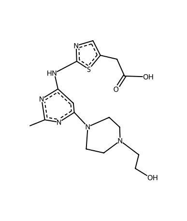 Cc1nc(Nc2ncc(CC(=O)O)s2)cc(N2CCN(CCO)CC2)n1